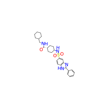 O=C(NCC1CCCCC1)[C@H]1CC[C@H](NS(=O)(=O)c2ccc3[nH]c(-c4ccccc4)nc3c2)CC1